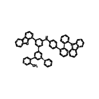 Cc1ccccc1-c1cc(-c2ccccc2)cc(-c2cc(Nc3ccc(-c4ccccc4-c4ccccc4-n4c5ccccc5c5ccccc54)cc3)cc(-c3cccc4c3oc3ccccc34)c2)c1